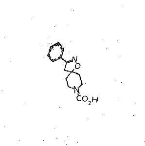 O=C(O)N1CCC2(CC1)CC(c1ccccc1)=NO2